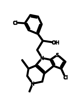 CC1CN(C)Cc2c1n(CC(O)c1cccc(Cl)c1)c1scc(Cl)c21